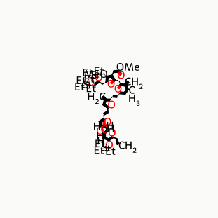 C=CC[C@@H]1O[C@H]2[C@@H]3O[C@H]4C[C@](CC[C@H]5CC(=C)[C@H](CC[C@H]6C[C@@H](C)C(=C)[C@@H](C[C@@H]7O[C@H](C[C@@H](CO[Si](CC)(CC)CC)O[Si](CC)(CC)CC)[C@H](OC)[C@H]7CC(=O)OC)O6)O5)(O[C@@H]3[C@H]1O[Si](CC)(CC)CC)O[C@H]24